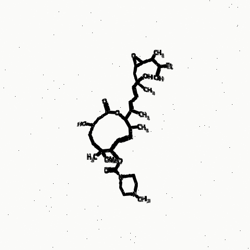 CCC(O)C(C)C1OC1CC(C)(O)/C=C/C=C(\C)C1OC(=O)CC(O)CCC(C)(OC)C(OC(=O)N2CCN(C)CC2)/C=C/C1C